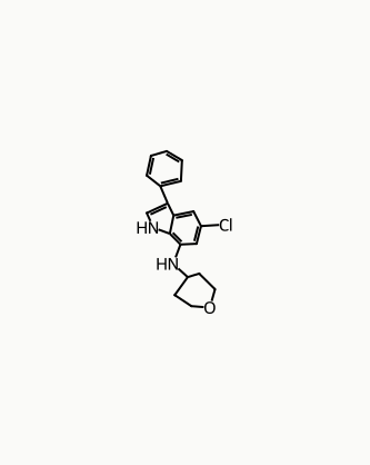 Clc1cc(NC2CCOCC2)c2[nH]cc(-c3ccccc3)c2c1